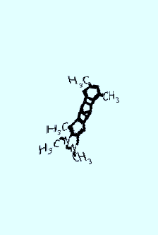 CCN1CN(C)Cc2cc3c(c(C)c21)C1C2CC(C31)C1c3c(C)cc(C)cc3C21